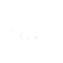 CCCCc1cc(OCc2ccccc2)cc(C(=O)O)c1C(=O)OC